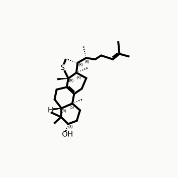 CC(C)=CCC[C@@H](C)[C@H]1CS[C@@]2(C)C3=C(CC[C@]12C)[C@@]1(C)CC[C@H](O)C(C)(C)[C@@H]1CC3